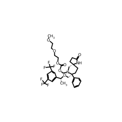 COCCOCCOC(=O)OCN1C[C@@]2(CCC(=O)N2)CC[C@@]1(CO[C@H](C)c1cc(C(F)(F)F)cc(C(F)(F)F)c1)c1ccccc1